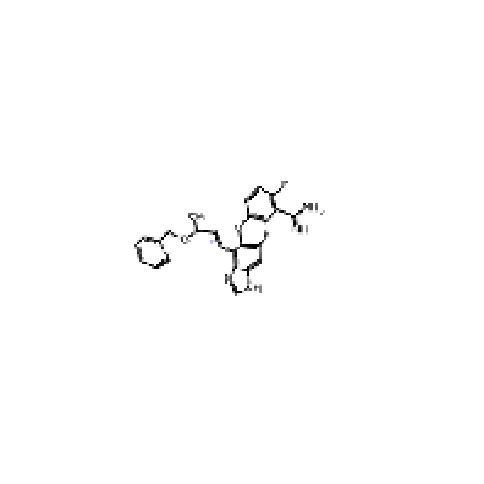 N=C(N)c1cc(Oc2c(F)cc3[nH]cnc3c2/C=C/C(O)OCc2ccccc2)ccc1F